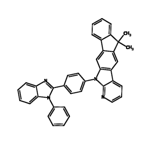 CC1(C)c2ccccc2-c2cc3c(cc21)c1cccnc1n3-c1ccc(-c2nc3ccccc3n2-c2ccccc2)cc1